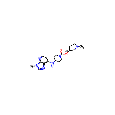 CC(C)n1cnc2c(NC3CCN(C(=O)O[C@H]4CCN(C)C4)CC3)ccnc21